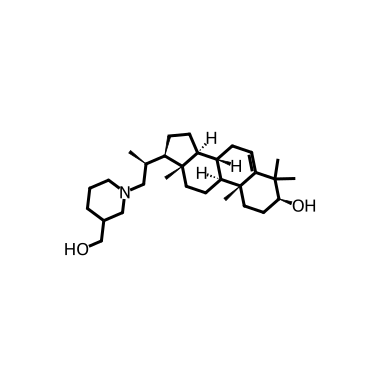 C[C@H](CN1CCCC(CO)C1)[C@H]1CC[C@H]2[C@@H]3CC=C4C(C)(C)[C@@H](O)CC[C@]4(C)[C@H]3CC[C@]12C